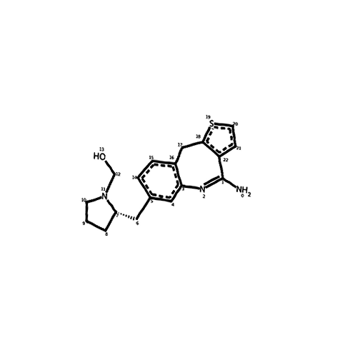 NC1=Nc2cc(C[C@@H]3CCCN3CO)ccc2Cc2sccc21